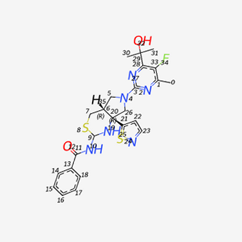 Cc1nc(N2C[C@H]3CSC(NC(=O)c4ccccc4)N[C@@]3(c3ccns3)C2)nc(C(C)(C)O)c1F